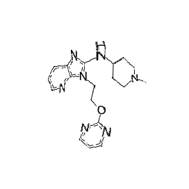 CN1CCC(Nc2nc3cccnc3n2CCOc2ncccn2)CC1